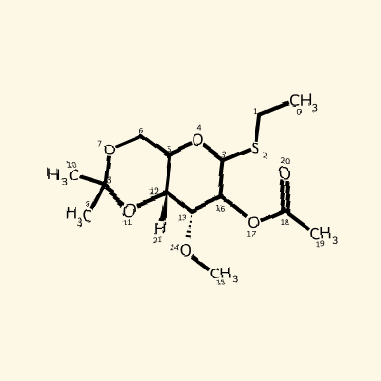 CCSC1OC2COC(C)(C)O[C@H]2[C@@H](OC)C1OC(C)=O